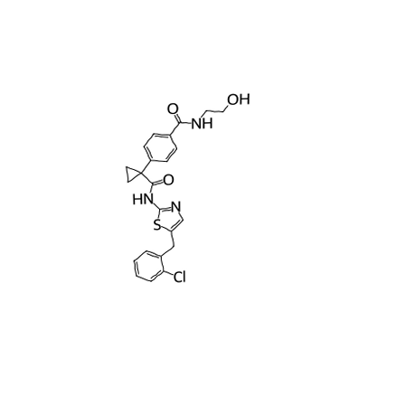 O=C(NCCO)c1ccc(C2(C(=O)Nc3ncc(Cc4ccccc4Cl)s3)CC2)cc1